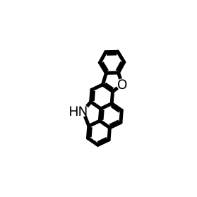 c1cc2ccc3c4oc5ccccc5c4cc4[nH]c(c1)c2c43